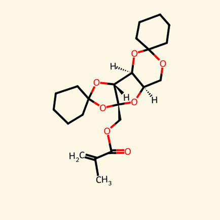 C=C(C)C(=O)OC[C@]12O[C@@H]3COC4(CCCCC4)O[C@@H]3[C@H]1OC1(CCCCC1)O2